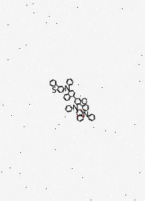 c1ccc(N(c2ccccc2)c2ccc3oc4cc(-c5ccc(N(c6ccccc6)c6ccc7sc8ccccc8c7c6)c6ccccc56)cc(N(c5ccccc5)c5ccccc5)c4c3c2)cc1